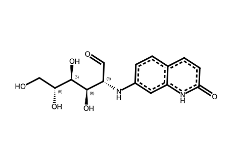 O=C[C@H](Nc1ccc2ccc(=O)[nH]c2c1)[C@@H](O)[C@H](O)[C@H](O)CO